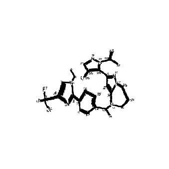 CCn1cc(C(F)(F)F)nc1-c1ccc(C(C)N2CCCn3nc(-c4c(Cl)cnn4C(C)C)cc32)cc1